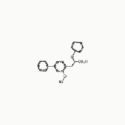 CCOc1cc(-c2ccccc2)ccc1CC(Oc1ccccc1)C(=O)O